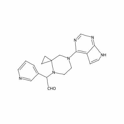 O=CC(c1cccnc1)N1CCN(c2ncnc3[nH]ccc23)CC12CC2